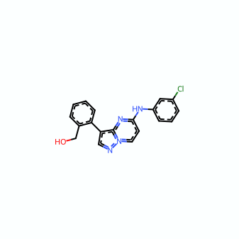 OCc1ccccc1-c1cnn2ccc(Nc3cccc(Cl)c3)nc12